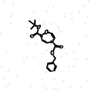 CC(C)(C)OC(=O)n1ccn(C(=O)OCc2ccccc2)cco1